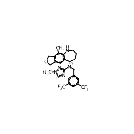 Cc1c2c(cc3c1NCCC[C@@H]3N(Cc1cc(C(F)(F)F)cc(C(F)(F)F)c1)c1nnn(C)n1)COC2